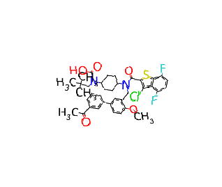 COc1ccc(-c2cccc(C(C)=O)c2)cc1CN(C(=O)c1sc2c(F)ccc(F)c2c1Cl)C1CCC(N(CC(C)(C)C)C(=O)O)CC1